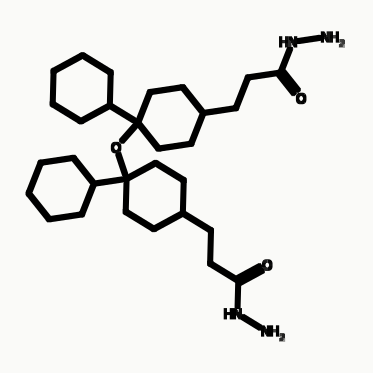 NNC(=O)CCC1CCC(OC2(C3CCCCC3)CCC(CCC(=O)NN)CC2)(C2CCCCC2)CC1